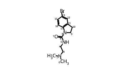 CN(C)CCNC(=O)N1CCc2cc(Br)ccc21